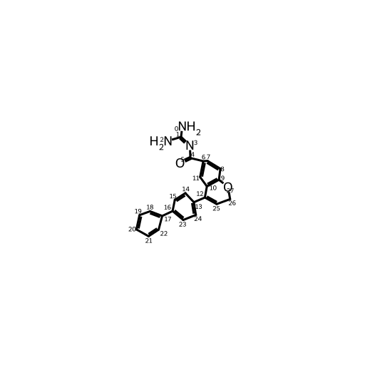 NC(N)=NC(=O)c1ccc2c(c1)C(c1ccc(-c3ccccc3)cc1)=CCO2